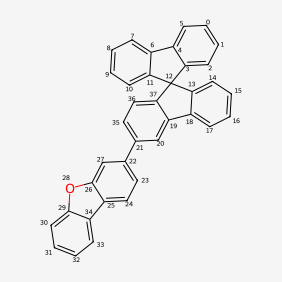 c1ccc2c(c1)-c1ccccc1C21c2ccccc2-c2cc(-c3ccc4c(c3)oc3ccccc34)ccc21